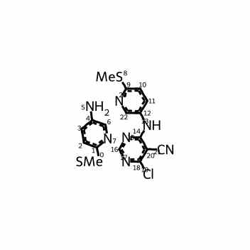 CSc1ccc(N)cn1.CSc1ccc(Nc2ncnc(Cl)c2C#N)cn1